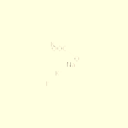 O=C([O-])[O-].[I-].[K+].[K+].[Na+]